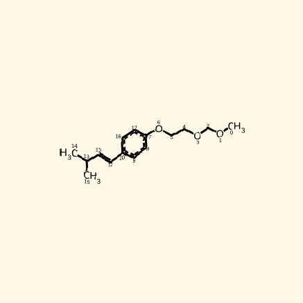 COCOCCOc1ccc(/C=C/C(C)C)cc1